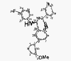 COc1cccc(-c2ccc3nc(-c4cccnc4)nc(Nc4cncc(F)c4)c3c2)c1